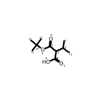 CC(I)C(C(=O)O)C(=O)OC(C)(C)C